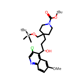 COc1ccc2ncc(Cl)c([C@@H](O)CCC3(CO[Si](C)(C)C(C)(C)C)CCN(C(=O)OC(C)(C)C)CC3)c2c1